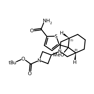 COC1(c2ccc(C(N)=O)s2)[C@@H]2CCC[C@H]1CN(C1CN(C(=O)OC(C)(C)C)C1)C2